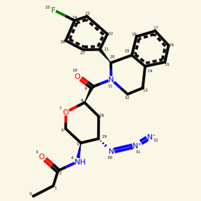 CCC(=O)N[C@H]1CO[C@@H](C(=O)N2CCc3ccccc3[C@@H]2c2ccc(F)cc2)C[C@@H]1N=[N+]=[N-]